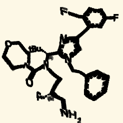 CC(C)(C)[C@H](c1nc(-c2cc(F)ccc2F)cn1Cc1ccccc1)N(C[C@@H](F)CN)C(=O)N1CCOCC1